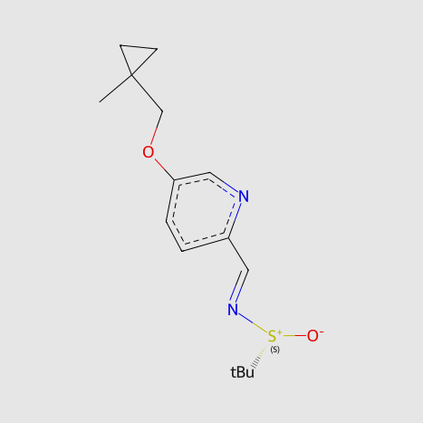 CC1(COc2ccc(C=N[S@+]([O-])C(C)(C)C)nc2)CC1